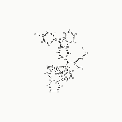 C=C/C(=C\C=C/C)N(c1ccc2c(c1)-c1c3cccc1C1C=CC=C2C1c1ccccc1-3)c1ccc2c(c1)c1ccccc1n2-c1ccc(F)cc1